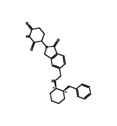 O=C1CCC(N2Cc3cc(CN[C@@H]4CCCC[C@@H]4Cc4ccccc4)ccc3C2=O)C(=O)N1